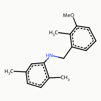 COc1cccc(CNc2cc(C)ccc2C)c1C